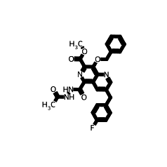 COC(=O)c1nc(C(=O)NNC(C)=O)c2cc(Cc3ccc(F)cc3)cnc2c1OCc1ccccc1